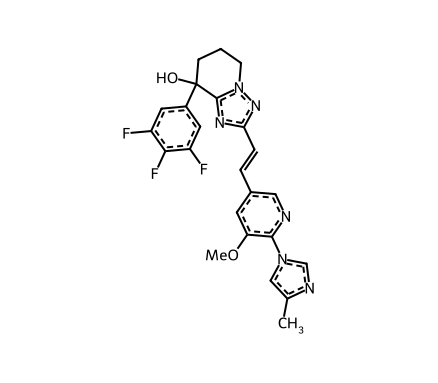 COc1cc(C=Cc2nc3n(n2)CCCC3(O)c2cc(F)c(F)c(F)c2)cnc1-n1cnc(C)c1